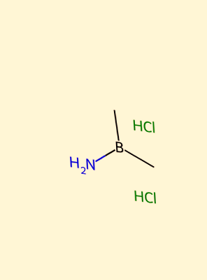 CB(C)N.Cl.Cl